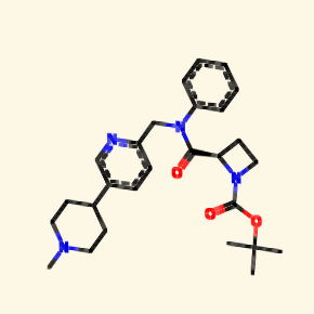 CN1CCC(c2ccc(CN(C(=O)[C@H]3CCN3C(=O)OC(C)(C)C)c3ccccc3)nc2)CC1